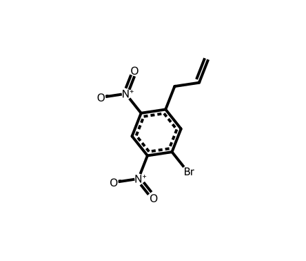 C=CCc1cc(Br)c([N+](=O)[O-])cc1[N+](=O)[O-]